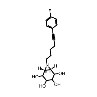 OC1C(O)C(O)[C@H]2[C@@H](C1O)N2CCCCC#Cc1ccc(F)cc1